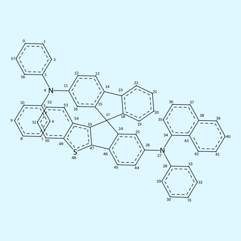 c1ccc(N(c2ccccc2)c2ccc3c(c2)C2(c4ccccc4-3)c3cc(N(c4ccccc4)c4cccc5ccccc45)ccc3-c3sc4ccccc4c32)cc1